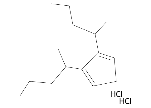 CCCC(C)C1=CCC=C1C(C)CCC.Cl.Cl